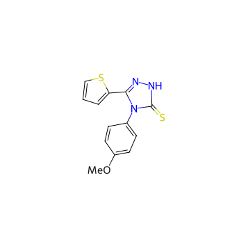 COc1ccc(-n2c(-c3cccs3)n[nH]c2=S)cc1